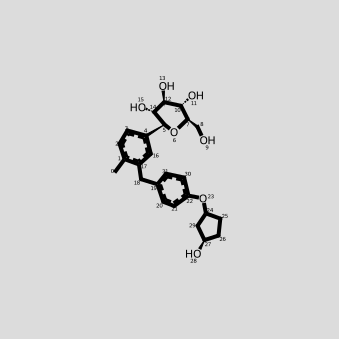 Cc1ccc([C@@H]2O[C@H](CO)[C@@H](O)[C@H](O)[C@H]2O)cc1Cc1ccc(OC2CC[C@@H](O)C2)cc1